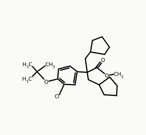 COC(=O)C(CC1CCCC1)(CC1CCCC1)c1ccc(OC(C)(C)C)c(Cl)c1